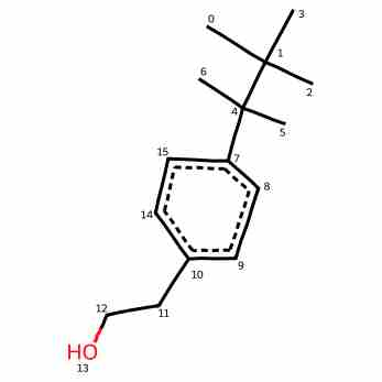 CC(C)(C)C(C)(C)c1ccc(CCO)cc1